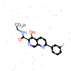 O=C(O)CNC(=O)c1ncc2nc(-c3cccc(F)c3)ccc2c1O